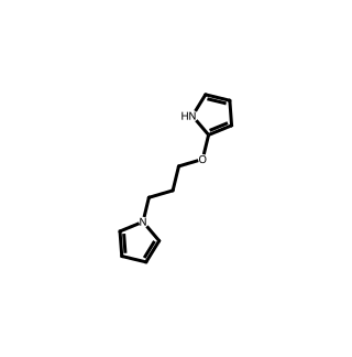 c1c[nH]c(OCCCn2cccc2)c1